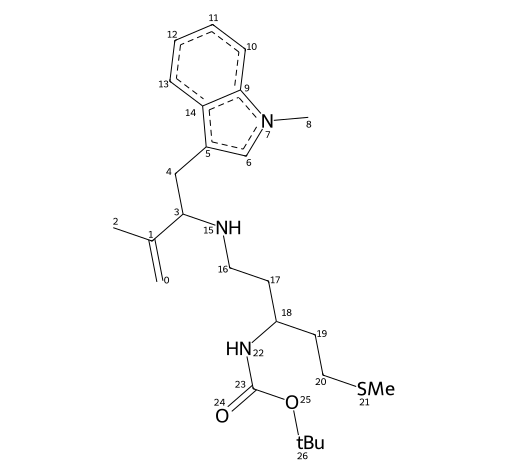 C=C(C)C(Cc1cn(C)c2ccccc12)NCCC(CCSC)NC(=O)OC(C)(C)C